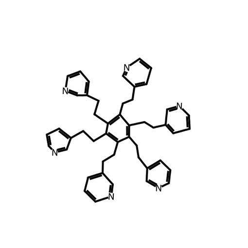 c1cncc(CCc2c(CCc3cccnc3)c(CCc3cccnc3)c(CCc3cccnc3)c(CCc3cccnc3)c2CCc2cccnc2)c1